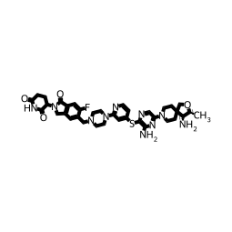 C[C@@H]1OCC2(CCN(c3cnc(Sc4ccnc(N5CCN(Cc6cc7c(cc6F)C(=O)N(C6CCC(=O)NC6=O)C7)CC5)c4)c(N)n3)CC2)[C@@H]1N